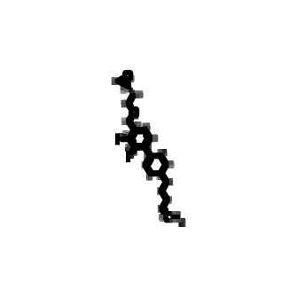 C=CCCCC1CC=C(c2ccc(COCC[C@@H]3CO3)c(F)c2F)CC1